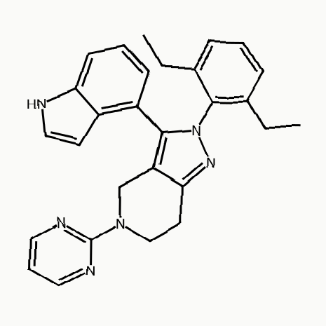 CCc1cccc(CC)c1-n1nc2c(c1-c1cccc3[nH]ccc13)CN(c1ncccn1)CC2